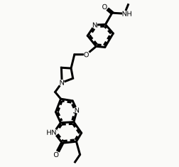 CCc1cc2ncc(CN3CC(COc4ccc(C(=O)NC)nc4)C3)cc2[nH]c1=O